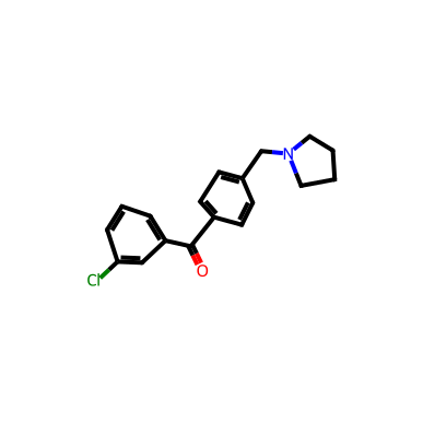 O=C(c1ccc(CN2CCCC2)cc1)c1cccc(Cl)c1